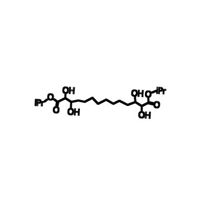 CC(C)OC(=O)C(O)C(O)CCCCCCCCC(O)C(O)C(=O)OC(C)C